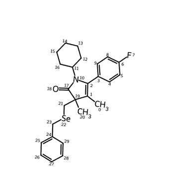 CC1=C(c2ccc(F)cc2)N(C2CCCCC2)C(=O)C1(C)C[Se]Cc1ccccc1